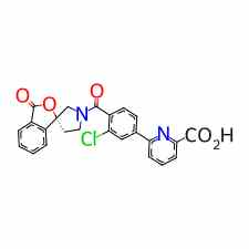 O=C(O)c1cccc(-c2ccc(C(=O)N3CC[C@@]4(C3)OC(=O)c3ccccc34)c(Cl)c2)n1